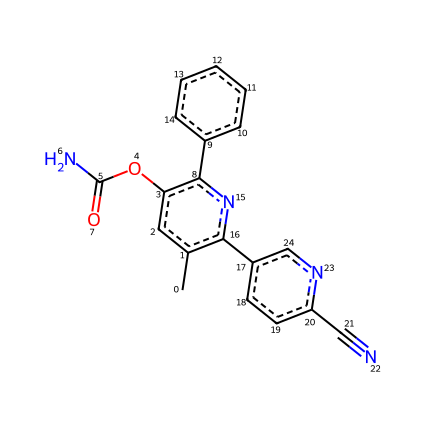 Cc1cc(OC(N)=O)c(-c2ccccc2)nc1-c1ccc(C#N)nc1